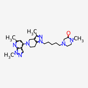 Cc1cc(N2CCc3c(c(C)nn3CCCCCN3CCN(C)C(=O)C3)C2)c2cnn(C)c2n1